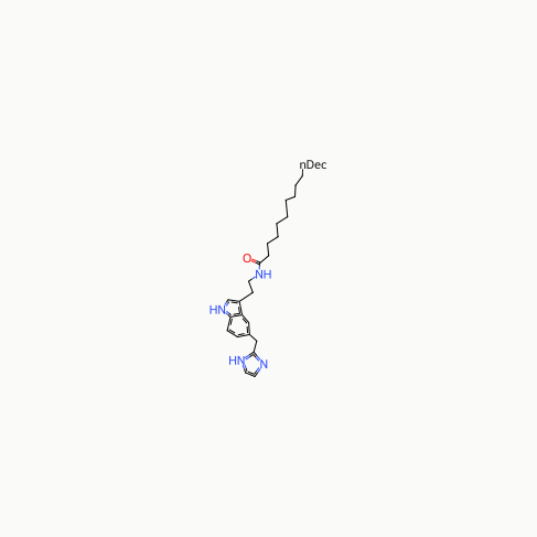 CCCCCCCCCCCCCCCCCCCC(=O)NCCc1c[nH]c2ccc(Cc3ncc[nH]3)cc12